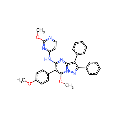 COc1ccc(-c2c(Nc3ccnc(OC)n3)nc3c(-c4ccccc4)c(-c4ccccc4)nn3c2OC)cc1